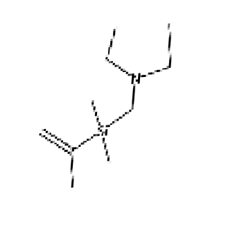 C=C(C)[Si](C)(C)CN(CC)CC